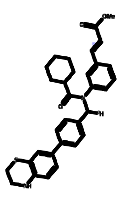 [2H]C(c1ccc(-c2ccc3c(c2)SCCN3)cc1)N(C(=O)C1CCCCC1)c1cccc(/C=C/C(=O)OC)c1